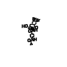 O=C(NNC(=O)C1CC(Br)C(Br)CC1C(=O)O)c1ccc(NC(=O)C2CC2)cc1